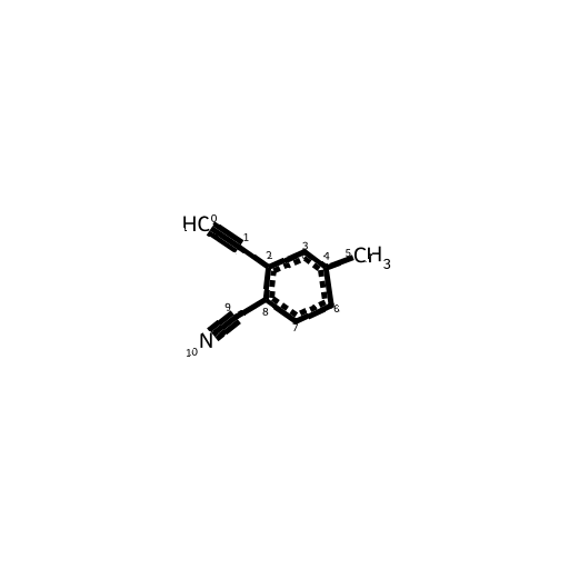 C#Cc1cc(C)ccc1C#N